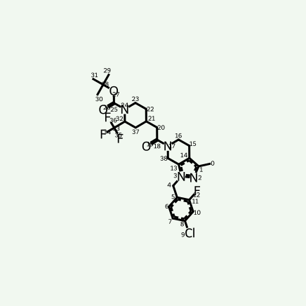 Cc1nn(Cc2ccc(Cl)cc2F)c2c1CCN(C(=O)CC1CCN(C(=O)OC(C)(C)C)C(C(F)(F)F)C1)C2